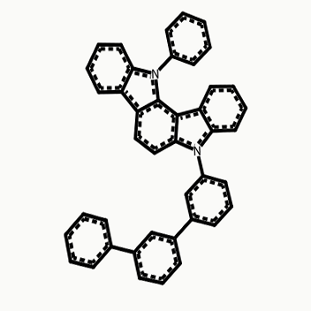 c1ccc(-c2cccc(-c3cccc(-n4c5ccccc5c5c4ccc4c6ccccc6n(-c6ccccc6)c45)c3)c2)cc1